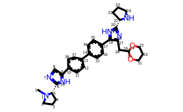 CN1CCC[C@H]1c1ncc(-c2ccc(-c3ccc(-c4[nH]c([C@@H]5CCCN5)nc4CC4OCCCO4)cc3)cc2)[nH]1